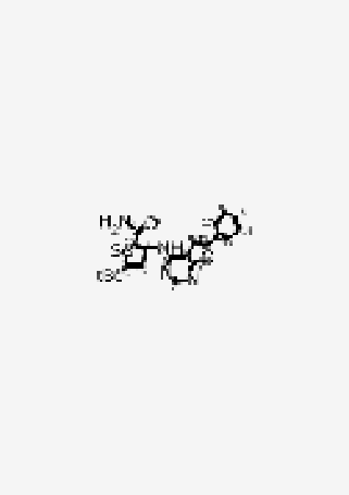 CC(C)(C)c1cc(Nc2ncnc3oc(-c4ccccc4)cc23)c(C(N)=O)[se]1